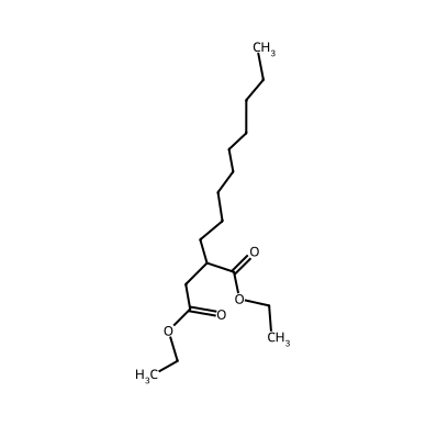 CCCCCCCCCC(CC(=O)OCC)C(=O)OCC